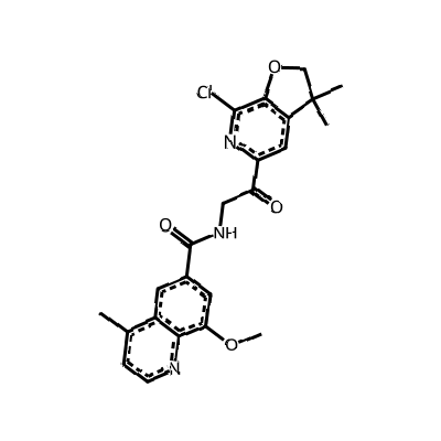 COc1cc(C(=O)NCC(=O)c2cc3c(c(Cl)n2)OCC3(C)C)cc2c(C)ccnc12